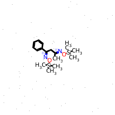 C/C(C/C(=N\O[Si](C)(C)C)c1ccccc1)=N\O[Si](C)(C)C